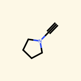 C#CN1CCCC1